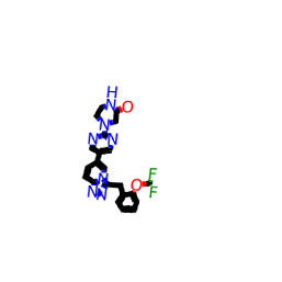 O=C1CN(c2ncc(-c3ccc4nnc(Cc5ccccc5OC(F)F)n4c3)cn2)CCN1